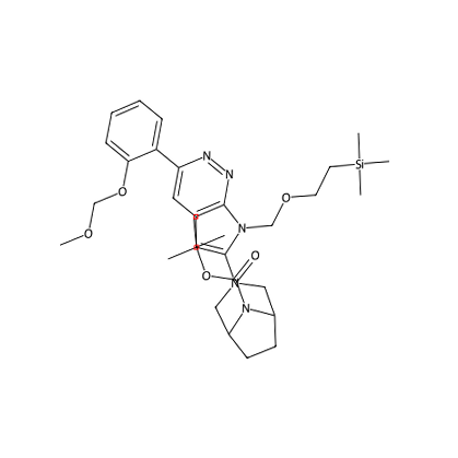 COCOc1ccccc1-c1cc2cc(N3CC4CCC(C3)N4C(=O)OC(C)(C)C)n(COCC[Si](C)(C)C)c2nn1